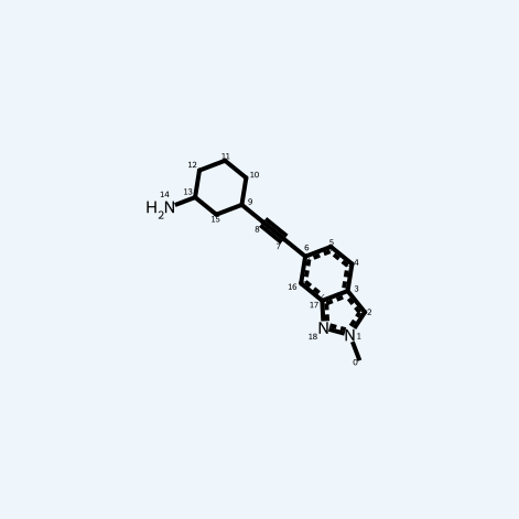 Cn1cc2ccc(C#CC3CCCC(N)C3)cc2n1